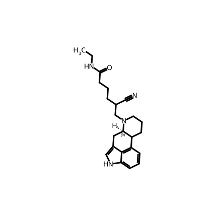 CCNC(=O)CCCC(C#N)CN1CCCC2c3cccc4[nH]cc(c34)C[C@H]21